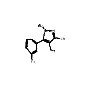 CCCc1c(O)nn(C(C)(C)C)c1-c1cccc(C)c1